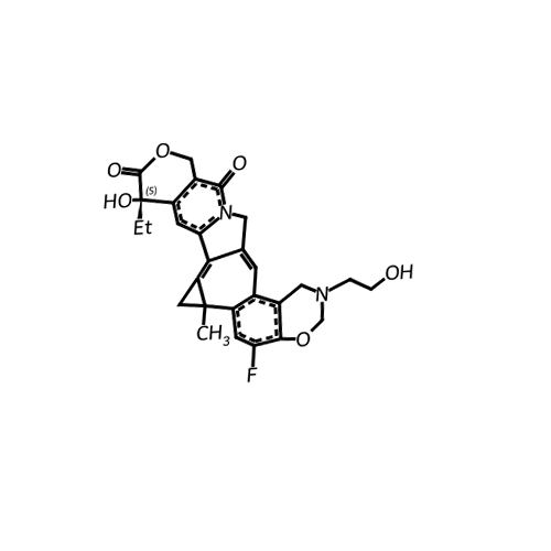 CC[C@@]1(O)C(=O)OCc2c1cc1n(c2=O)CC2=Cc3c(cc(F)c4c3CN(CCO)CO4)C3(C)CC3=C21